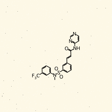 CN(c1cccc(C(F)(F)F)c1)S(=O)(=O)c1cccc(/C=C/C(=O)Nc2ccncn2)c1